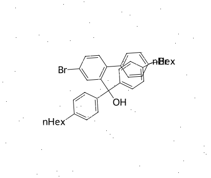 CCCCCCc1ccc(C(O)(c2ccc(CCCCCC)cc2)c2cc(Br)ccc2-c2ccc(Br)cc2)cc1